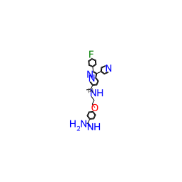 C[C@H](NCCCOc1ccc(C(=N)N)cc1)c1ccc2c(-c3ccncc3)c(-c3ccc(F)cc3)nn2c1